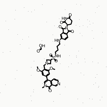 COc1cc(-c2cn(C)c(=O)c3cnccc23)cc(OC)c1CN1CC(S(=O)(=O)NCCCCNc2ccc3c(c2)C(=O)N(C2CCC(=O)NC2=O)C3=O)C1.O=CO